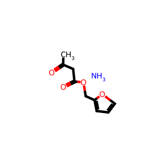 CC(=O)CC(=O)OCc1ccco1.N